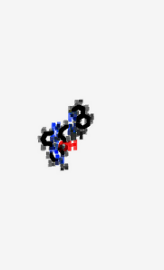 CC(C)N(Cc1nc2cccc(N3CCN(C)CC3)n2c1CO)[C@H]1CCCc2cccnc21